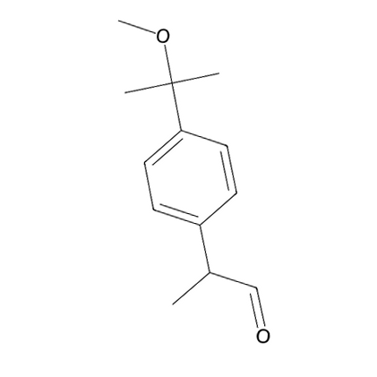 COC(C)(C)c1ccc(C(C)C=O)cc1